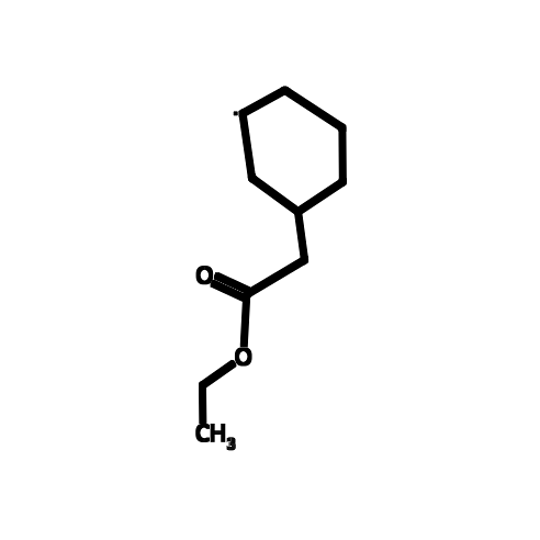 CCOC(=O)CC1C[CH]CCC1